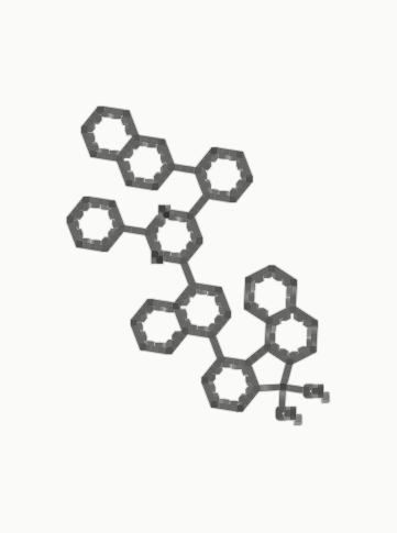 CC1(C)c2cccc(-c3ccc(-c4cc(-c5ccccc5-c5ccc6ccccc6c5)nc(-c5ccccc5)n4)c4ccccc34)c2-c2c1ccc1ccccc21